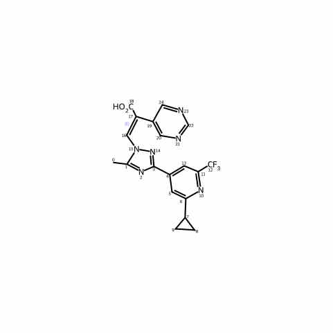 Cc1nc(-c2cc(C3CC3)nc(C(F)(F)F)c2)nn1/C=C(/C(=O)O)c1cncnc1